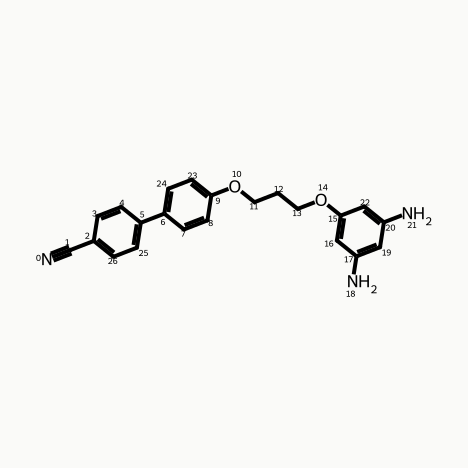 N#Cc1ccc(-c2ccc(OCCCOc3cc(N)cc(N)c3)cc2)cc1